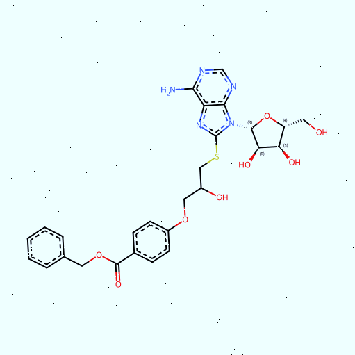 Nc1ncnc2c1nc(SCC(O)COc1ccc(C(=O)OCc3ccccc3)cc1)n2[C@@H]1O[C@H](CO)[C@@H](O)[C@H]1O